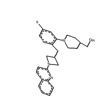 OCC1CCN(c2cc(F)cnc2CC2CN(c3ccc4ccccc4n3)C2)CC1